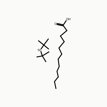 CCCCCCCCCCCC(=O)O.C[C](C)(C)[Sn][C](C)(C)C